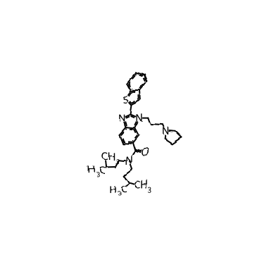 CC(C)CCN(CCC(C)C)C(=O)c1ccc2nc(-c3cc4ccccc4s3)n(CCCN3CCCC3)c2c1